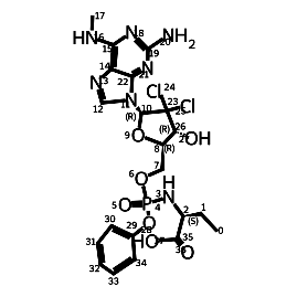 CC[C@H](NP(=O)(OC[C@H]1O[C@@H](n2cnc3c(NC)nc(N)nc32)C(Cl)(Cl)[C@@H]1O)Oc1ccccc1)C(=O)O